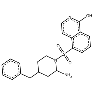 NC1CC(Cc2ccccc2)CCN1S(=O)(=O)c1cccc2c(O)nccc12